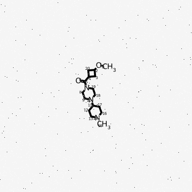 COC1CC(C(=O)N2CCN(C3CCN(C)CC3)CC2)C1